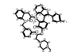 Cc1c(-c2c(-c3ccc(F)cc3)sc3ncnc(OC(Cc4ccccc4OCc4ccnc(Cl)n4)C(=O)O)c23)ccc(OCCN2CCN(C)CC2)c1Cl